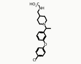 CC(c1cccc(Oc2ccc(Cl)cc2)c1)N1CCC(CNC(=O)O)CC1